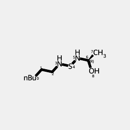 CCCCCCNSN[C@@H](C)O